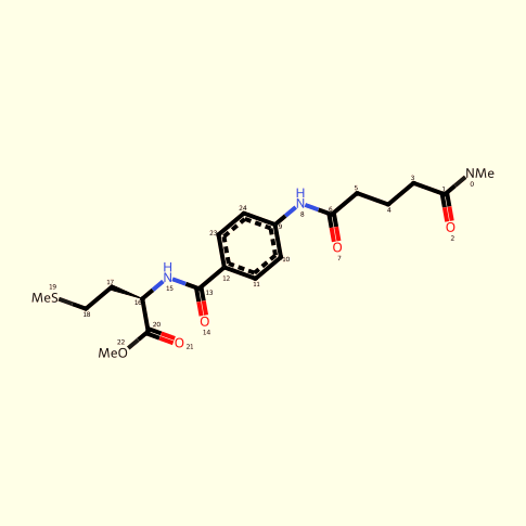 CNC(=O)CCCC(=O)Nc1ccc(C(=O)N[C@H](CCSC)C(=O)OC)cc1